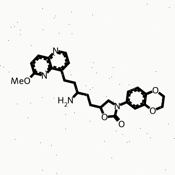 COc1ccc2nccc(CCC(N)CCC3CN(c4ccc5c(c4)OCCO5)C(=O)O3)c2n1